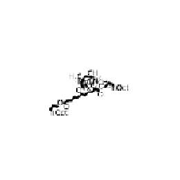 CCCCCCCC/C=C\COC(=O)CCCCC(CCCCC(=O)OC/C=C\CCCCCCCC)OC(=O)CC(C)(C)CC(C)(C)CN(C)C